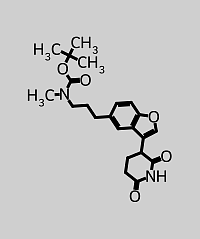 CN(CCCc1ccc2occ(C3CCC(=O)NC3=O)c2c1)C(=O)OC(C)(C)C